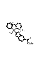 COC(=O)c1ccc2nc(C(O)(c3ccccc3)c3ncccc3C)n(C)c2c1